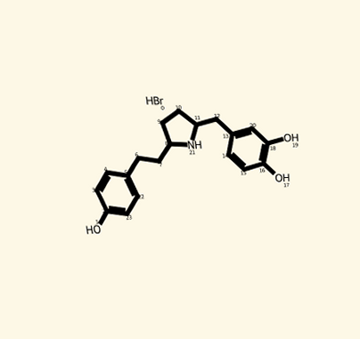 Br.Oc1ccc(CCC2CCC(Cc3ccc(O)c(O)c3)N2)cc1